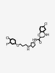 O=C(NN1CCC(NCCCOc2ccc(Cl)c(F)c2)C1)C1CNc2cc(Cl)ccc2O1